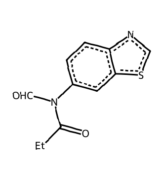 CCC(=O)N(C=O)c1ccc2ncsc2c1